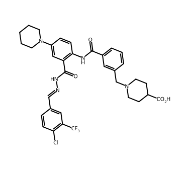 O=C(Nc1ccc(N2CCCCC2)cc1C(=O)NN=Cc1ccc(Cl)c(C(F)(F)F)c1)c1cccc(CN2CCC(C(=O)O)CC2)c1